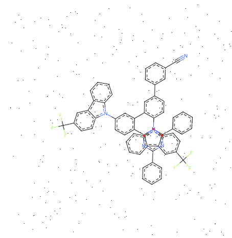 N#Cc1cccc(-c2ccc(-n3c4ccccc4c4cc(C(F)(F)F)ccc43)c(-c3cc(-n4c5ccccc5c5cc(C(F)(F)F)ccc54)ccc3-c3nc(-c4ccccc4)nc(-c4ccccc4)n3)c2)c1